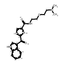 CN(C)CCOCCNC(=O)c1csc(C(=O)c2c[nH]c3ccccc23)n1